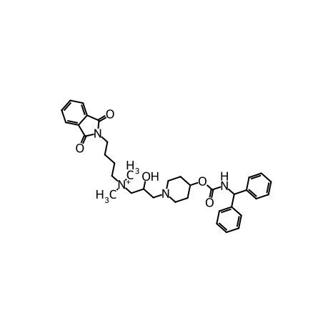 C[N+](C)(CCCCN1C(=O)c2ccccc2C1=O)CC(O)CN1CCC(OC(=O)NC(c2ccccc2)c2ccccc2)CC1